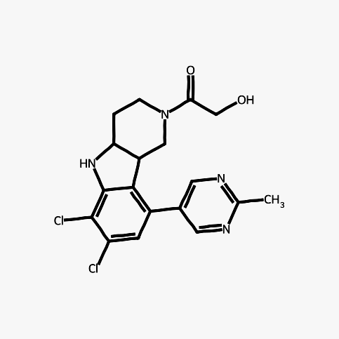 Cc1ncc(-c2cc(Cl)c(Cl)c3c2C2CN(C(=O)CO)CCC2N3)cn1